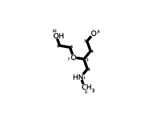 CNCC(CC[O])OCCO